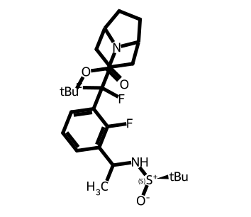 CC(N[S@+]([O-])C(C)(C)C)c1cccc(C(F)(F)C2CC3CCC(C2)N3C(=O)OC(C)(C)C)c1F